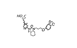 O=C(O)CSc1cnc(NC(=O)N(CCCOc2ccc3c(c2)OCO3)C2CCCCC2)s1